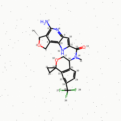 C[C@H]1OCc2c1c(N)nc1cc(C(=O)N(C)[C@@H]3COC4(CC4)c4cc(C(F)(F)F)ccc43)[nH]c21